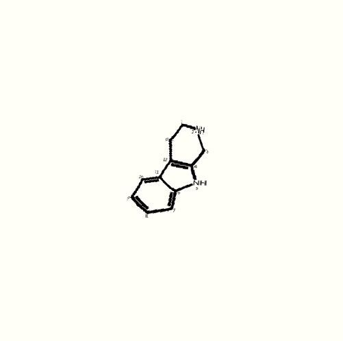 [C]1CNCc2[nH]c3ccccc3c21